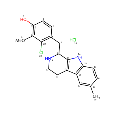 COc1c(O)ccc(CC2NCCc3c2[nH]c2ccc(C)cc32)c1Cl.Cl